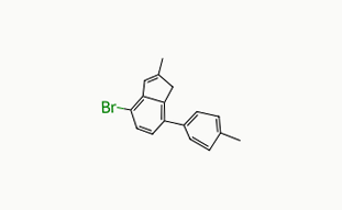 CC1=Cc2c(Br)ccc(-c3ccc(C)cc3)c2C1